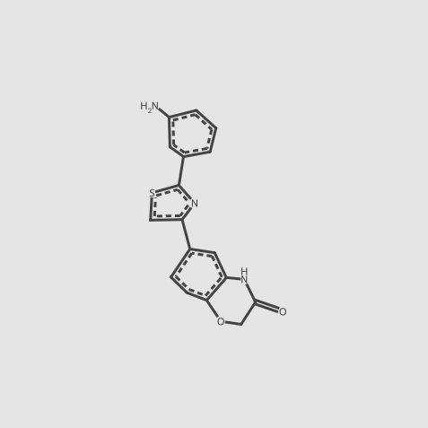 Nc1cccc(-c2nc(-c3ccc4c(c3)NC(=O)CO4)cs2)c1